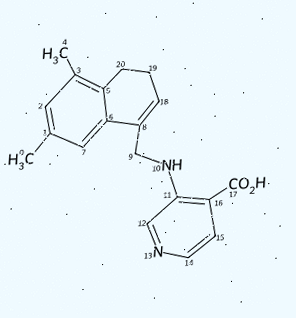 Cc1cc(C)c2c(c1)C(CNc1cnccc1C(=O)O)=CCC2